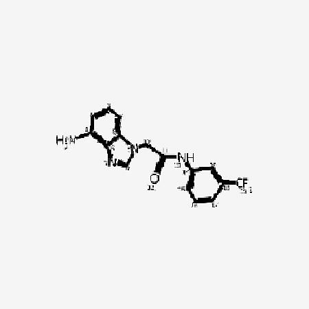 Nc1cccc2c1ncn2CC(=O)Nc1cccc(C(F)(F)F)c1